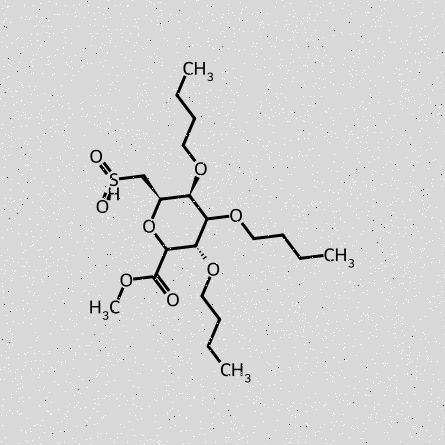 CCCCOC1[C@H](OCCCC)C(C(=O)OC)O[C@@H](C[SH](=O)=O)[C@H]1OCCCC